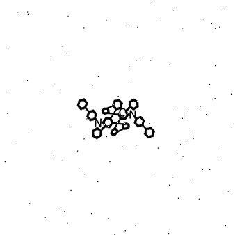 c1ccc(-c2ccc(-n3c4ccccc4c4cc5c(cc43)C3(c4ccccc4-c4ccccc43)c3cc4c6ccccc6n(-c6ccc(-c7ccccc7)cc6)c4cc3C53c4ccccc4-c4ccccc43)cc2)cc1